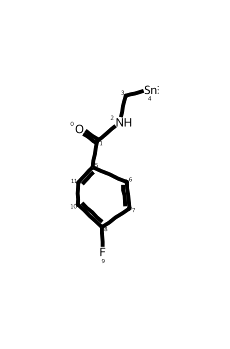 O=C(N[CH2][Sn])c1ccc(F)cc1